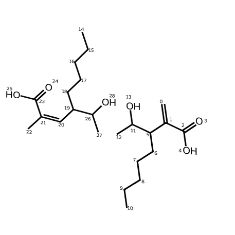 C=C(C(=O)O)C(CCCCC)C(C)O.CCCCCC(C=C(C)C(=O)O)C(C)O